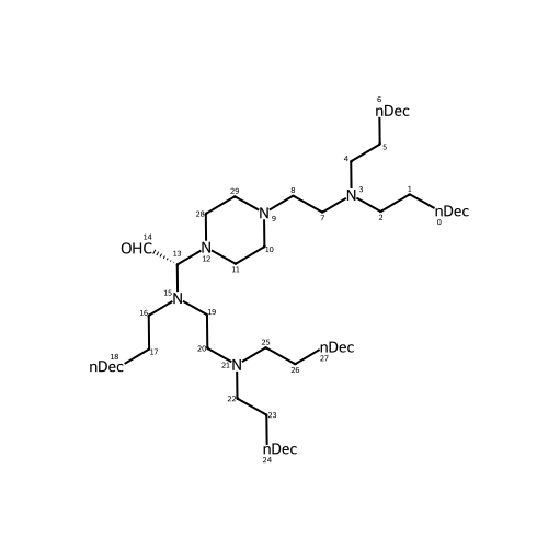 CCCCCCCCCCCCN(CCCCCCCCCCCC)CCN1CCN([C@@H](C=O)N(CCCCCCCCCCCC)CCN(CCCCCCCCCCCC)CCCCCCCCCCCC)CC1